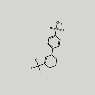 CS(=O)(=O)c1ccc(C2C=C(C(F)(F)F)CCC2)nc1